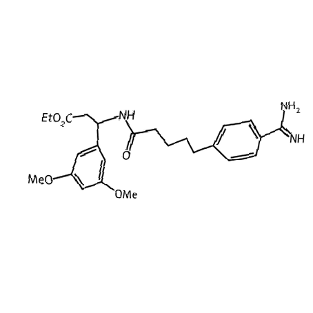 CCOC(=O)CC(NC(=O)CCCCc1ccc(C(=N)N)cc1)c1cc(OC)cc(OC)c1